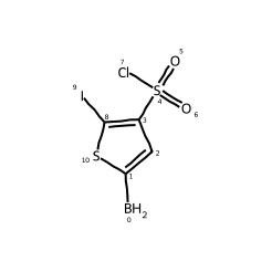 Bc1cc(S(=O)(=O)Cl)c(I)s1